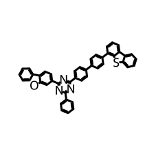 c1ccc(-c2nc(-c3ccc(-c4ccc(-c5cccc6c5sc5ccccc56)cc4)cc3)nc(-c3ccc4c(c3)oc3ccccc34)n2)cc1